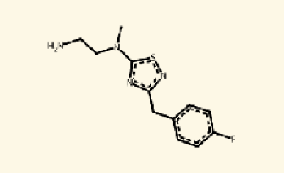 CN(CCN)c1nc(Cc2ccc(F)cc2)ns1